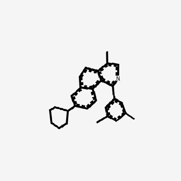 Cc1cc(C)cc(-c2ncc(C)c3ccc4cc(C5CCCCC5)ccc4c23)c1